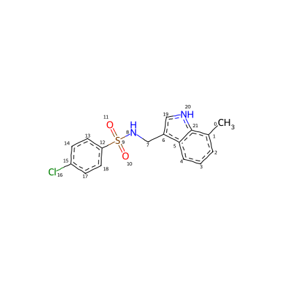 Cc1cccc2c(CNS(=O)(=O)c3ccc(Cl)cc3)c[nH]c12